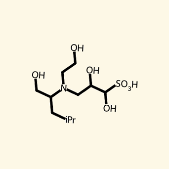 CC(C)CC(CO)N(CCO)CC(O)C(O)S(=O)(=O)O